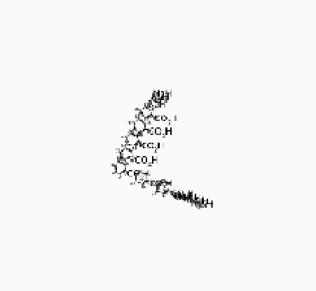 O=C(O)c1ccccc1.O=C(O)c1ccccc1.O=C(O)c1ccccc1.O=C(O)c1ccccc1.O=C(O)c1ccccc1.O=C(O)c1ccccc1.O=C(O)c1ccccc1.[NaH].[NaH].[NaH].[NaH].[NaH].[NaH].[NaH].[NaH].[NaH].[NaH]